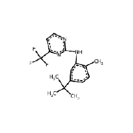 Cc1ccc(C(C)(C)C)cc1Nc1nccc(C(F)(F)F)n1